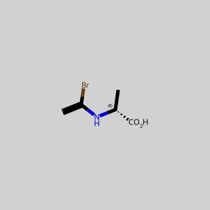 C=C(Br)N[C@H](C)C(=O)O